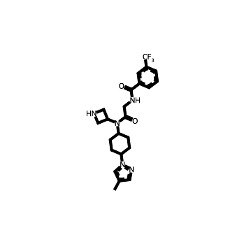 Cc1cnn(C2CCC(N(C(=O)CNC(=O)c3cccc(C(F)(F)F)c3)C3CNC3)CC2)c1